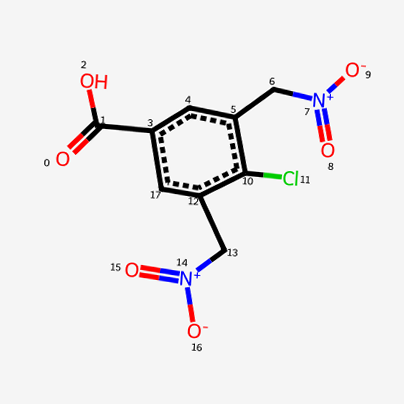 O=C(O)c1cc(C[N+](=O)[O-])c(Cl)c(C[N+](=O)[O-])c1